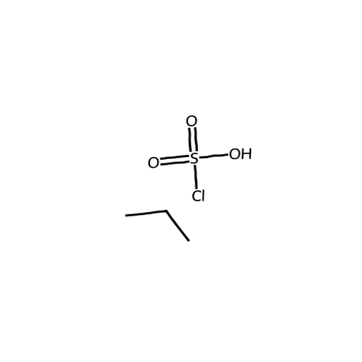 CCC.O=S(=O)(O)Cl